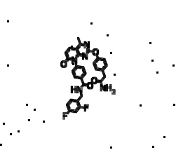 Cc1nc(Oc2ccc(CC(N)=O)cc2)nc2c1ccc(=O)n2-c1ccc(C(=O)NCc2ccc(F)cc2F)cc1